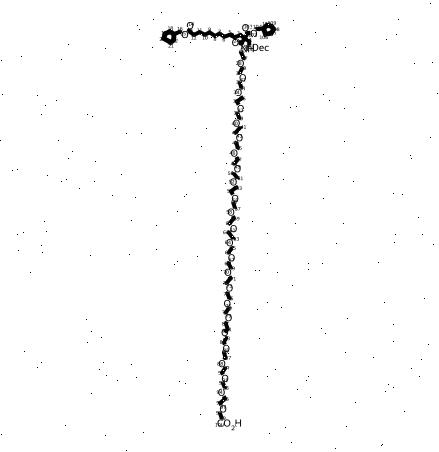 CCCCCCCCCCCC(C/C=C/CCCCCCCC(=O)OCc1ccccc1)(C(=O)NCCOCCOCCOCCOCCOCCOCCOCCOCCOCCOCCOCCOCCOCCOCCOCCOCCOCCOCCOCCOCCOCCOCCOCCOCCC(=O)O)C(=O)OCc1ccccc1